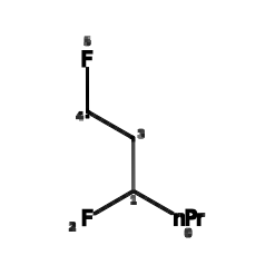 CCCC(F)C[CH]F